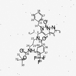 CC[C@H](c1cc2cc(C)nn2c(=O)n1Cc1ccccc1)N(CCCNC(=O)OC(C)(C)C)C(=O)c1ccc(C(F)(F)F)cc1